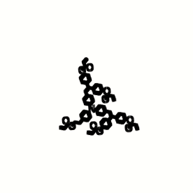 C=CC(=O)OCCc1ccc(N(c2ccc(C=C(c3ccc(OC(=O)C=C)cc3)c3ccc(OC(=O)C=C)cc3)cc2)c2ccc(C=C(c3ccc(OC(=O)C=C)cc3)c3ccc(OC(=O)C=C)cc3)cc2)cc1